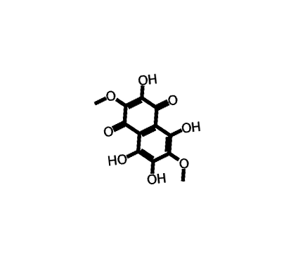 COC1=C(O)C(=O)c2c(O)c(OC)c(O)c(O)c2C1=O